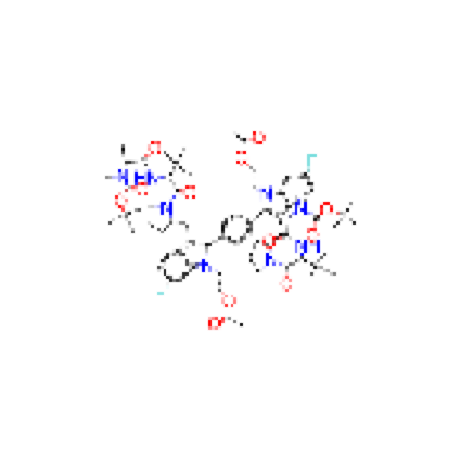 CC(=O)OCCn1c(-c2ccc(-c3c(C[C@@H]4CCCN4C(=O)[C@@H](NC(=O)[C@H](C)N(C)C(=O)OC(C)(C)C)C(C)(C)C)c4ccc(F)cc4n3CCOC(C)=O)cc2)c(C[C@@H]2CCCN2C(=O)[C@@H](NC(=O)[C@H](C)N(C)C(=O)OC(C)(C)C)C(C)(C)C)c2ccc(F)cc21